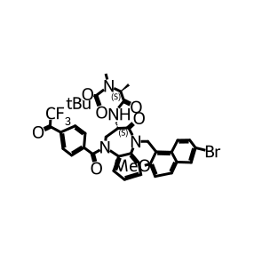 COc1ccc2cc(Br)ccc2c1CN1C(=O)[C@@H](NC(=O)[C@H](C)N(C)C(=O)OC(C)(C)C)CN(C(=O)c2ccc(C(=O)C(F)(F)F)cc2)c2ccccc21